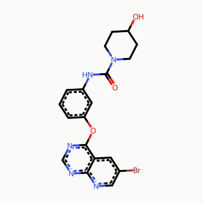 O=C(Nc1cccc(Oc2ncnc3ncc(Br)cc23)c1)N1CCC(O)CC1